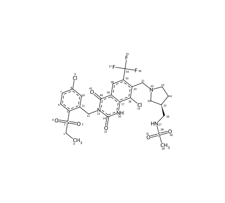 CCS(=O)(=O)c1ccc(Cl)cc1Cn1c(=O)[nH]c2c(Cl)c(CN3CC[C@@H](CNS(C)(=O)=O)C3)c(C(F)(F)F)cc2c1=O